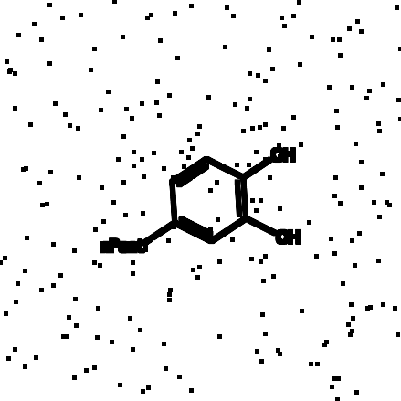 CCCCCc1ccc(O)c(O)c1